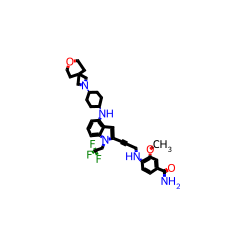 COc1cc(C(N)=O)ccc1NCC#Cc1cc2c(N[C@H]3CC[C@@H](N4CC5(CCOCC5)C4)CC3)cccc2n1CC(F)(F)F